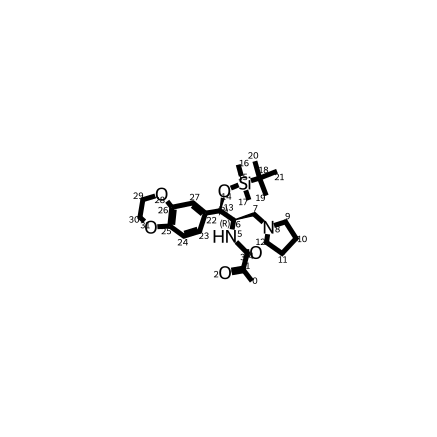 CC(=O)C(=O)N[C@H](CN1CCCC1)[C@H](O[Si](C)(C)C(C)(C)C)c1ccc2c(c1)OCCO2